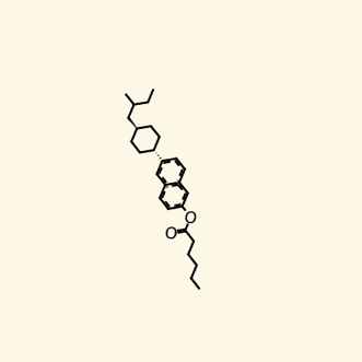 CCCCCC(=O)Oc1ccc2cc([C@H]3CC[C@H](CC(C)CC)CC3)ccc2c1